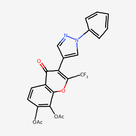 CC(=O)Oc1ccc2c(=O)c(-c3cnn(-c4ccccc4)c3)c(C(F)(F)F)oc2c1OC(C)=O